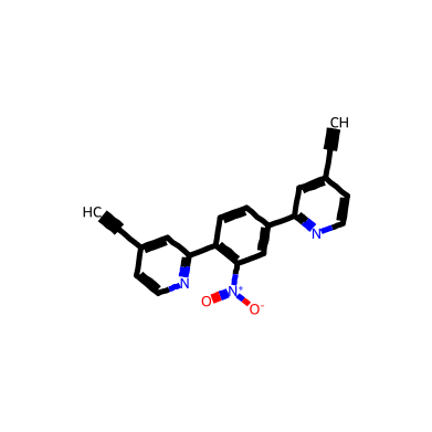 C#Cc1ccnc(-c2ccc(-c3cc(C#C)ccn3)c([N+](=O)[O-])c2)c1